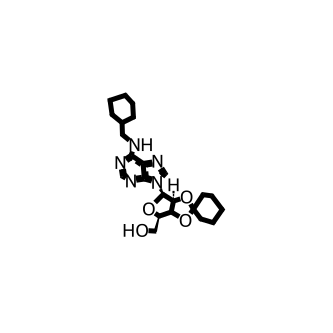 OC[C@H]1O[C@@H](n2cnc3c(NCC4CCCCC4)ncnc32)[C@H]2OC3(CCCCC3)OC12